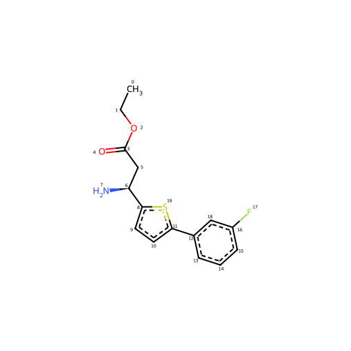 CCOC(=O)C[C@H](N)c1ccc(-c2cccc(F)c2)s1